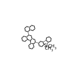 C[Si]1(C)c2ccccc2-c2cc(-c3cc4cc(-c5cccc6ccccc56)c5ccccc5c4c4ccccc34)ccc21